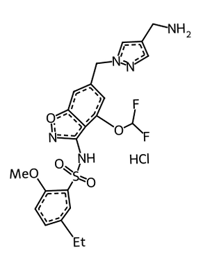 CCc1ccc(OC)c(S(=O)(=O)Nc2noc3cc(Cn4cc(CN)cn4)cc(OC(F)F)c23)c1.Cl